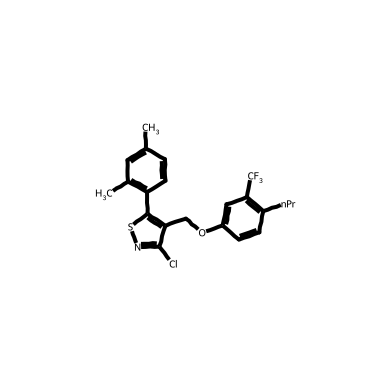 CCCc1ccc(OCc2c(Cl)nsc2-c2ccc(C)cc2C)cc1C(F)(F)F